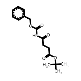 CC(C)(C)OC(=O)CCC(=O)NC(=O)OCc1ccccc1